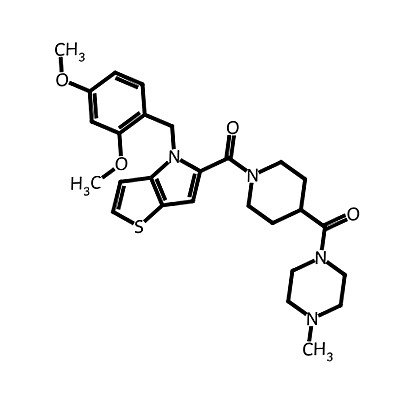 COc1ccc(Cn2c(C(=O)N3CCC(C(=O)N4CCN(C)CC4)CC3)cc3sccc32)c(OC)c1